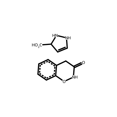 O=C(O)C1C=CNN1.O=C1Cc2ccccc2ON1